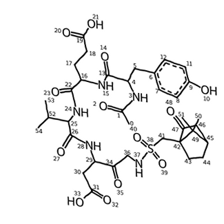 CC(=O)NC(Cc1ccc(O)cc1)C(=O)NC(CCC(=O)O)C(=O)NC(C(=O)NC(CC(=O)O)C(=O)CNS(=O)(=O)CC12CCC(CC1=O)C2(C)C)C(C)C